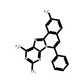 FC(F)(F)c1ccc2cc(-c3ccccc3)n3c4nc(C(F)(F)F)nc(C(F)(F)F)c4nc3c2c1